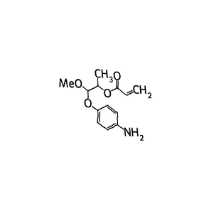 C=CC(=O)OC(C)C(OC)Oc1ccc(N)cc1